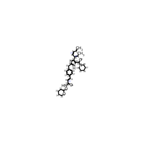 C=C/C=C\C(=C/C)c1nc(Cc2ccc(/C=C/C(=O)NOC3CCCCO3)cc2)[nH]c1C(=O)N1CCCCC1